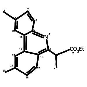 CCOC(=O)C(C)c1nc2ccc(C)cc2c2cc(C)ccc12